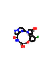 O=C1NC[C@H](O)COc2ccc(F)cc2[C@H]2C[C@H](O)CN2c2ccn3ncc1c3n2